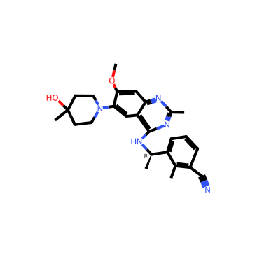 COc1cc2nc(C)nc(N[C@H](C)c3cccc(C#N)c3C)c2cc1N1CCC(C)(O)CC1